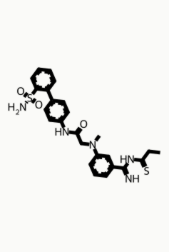 CCC(=S)NC(=N)c1cccc(N(C)CC(=O)Nc2ccc(-c3ccccc3S(N)(=O)=O)cc2)c1